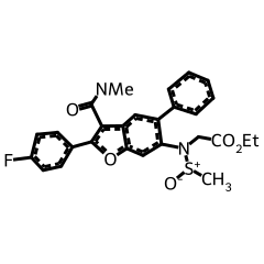 CCOC(=O)CN(c1cc2oc(-c3ccc(F)cc3)c(C(=O)NC)c2cc1-c1ccccc1)[S+](C)[O-]